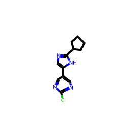 Clc1ncc(-c2cnc(C3CCCC3)[nH]2)cn1